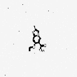 CCOc1cc2nc(C)cn2cc1C(=O)O